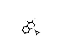 NC1=C(Br)c2ccccc2N(C2CC2)C1